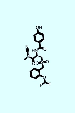 CN(C#N)C(=O)[C@H](CS(=O)(=O)Cc1ccccc1OC(F)F)NC(=O)c1ccc(O)cc1